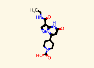 CCNC(=O)c1cnn2c(C3CCN(C(=O)O)CC3)cc(=O)[nH]c12